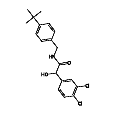 CC(C)(C)c1ccc(CNC(=O)C(O)c2ccc(Cl)c(Cl)c2)cc1